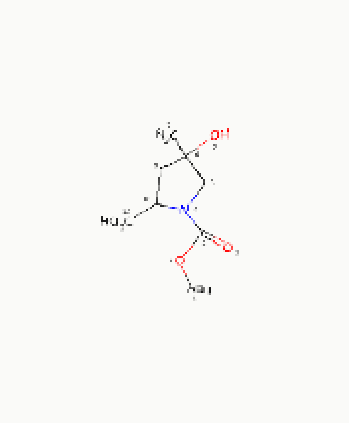 CCCCOC(=O)N1CC(C)(O)CC1C(=O)O